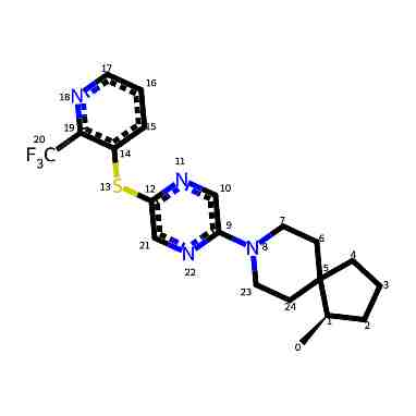 C[C@@H]1CCCC12CCN(c1cnc(Sc3cccnc3C(F)(F)F)cn1)CC2